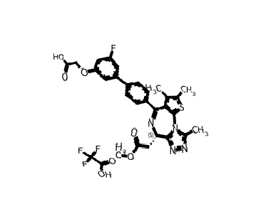 COC(=O)C[C@@H]1N=C(c2ccc(-c3cc(F)cc(OCC(=O)O)c3)cc2)c2c(sc(C)c2C)-n2c(C)nnc21.O=C(O)C(F)(F)F